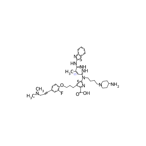 C/C(=C/C(=N)N(CCCCN1CCC(N)CC1)c1nc(C(=O)O)c(CCCOc2ccc(C#CCN(C)C)cc2F)s1)C(=N)Nc1nc2ccccc2s1